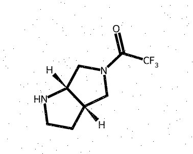 O=C(N1C[C@@H]2CCN[C@@H]2C1)C(F)(F)F